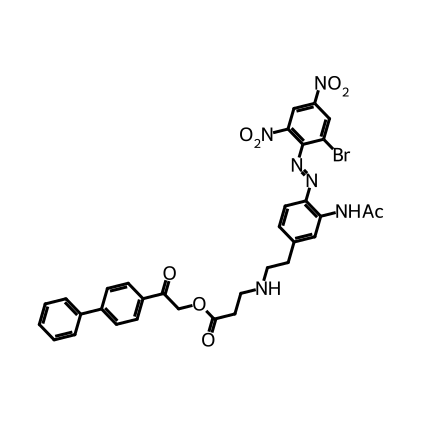 CC(=O)Nc1cc(CCNCCC(=O)OCC(=O)c2ccc(-c3ccccc3)cc2)ccc1N=Nc1c(Br)cc([N+](=O)[O-])cc1[N+](=O)[O-]